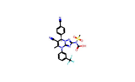 CC1=C(C#N)[C@@H](c2ccc(C#N)cc2)n2nc(N(C(=O)O)S(C)(=O)=O)nc2N1c1cccc(C(F)(F)F)c1